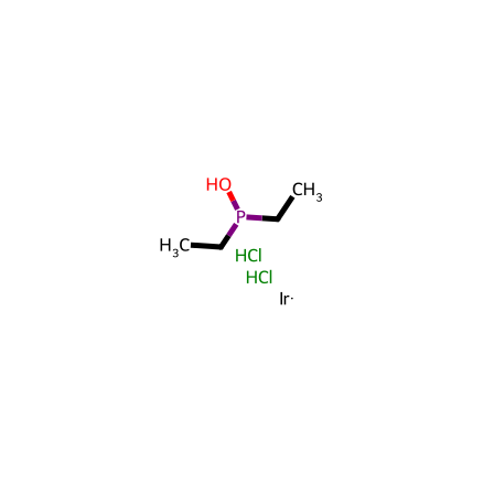 CCP(O)CC.Cl.Cl.[Ir]